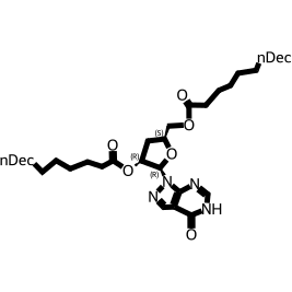 CCCCCCCCCCCCCCCC(=O)OC[C@@H]1C[C@@H](OC(=O)CCCCCCCCCCCCCCC)[C@H](n2ncc3c(=O)[nH]cnc32)O1